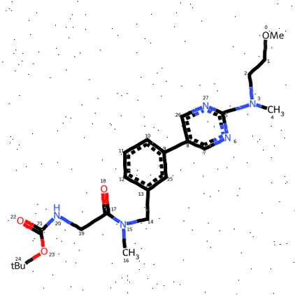 COCCN(C)c1ncc(-c2cccc(CN(C)C(=O)CNC(=O)OC(C)(C)C)c2)cn1